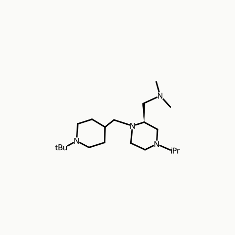 CC(C)N1CCN(CC2CCN(C(C)(C)C)CC2)[C@@H](CN(C)C)C1